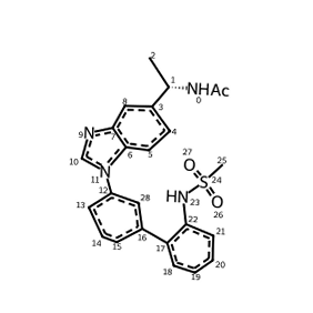 CC(=O)N[C@@H](C)c1ccc2c(c1)ncn2-c1cccc(-c2ccccc2NS(C)(=O)=O)c1